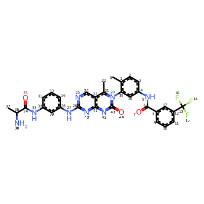 Cc1ccc(NC(=O)c2cccc(C(F)(F)F)c2)cc1-n1c(C)c2cnc(Nc3cccc(NC(=O)C(C)N)c3)nc2nc1=O